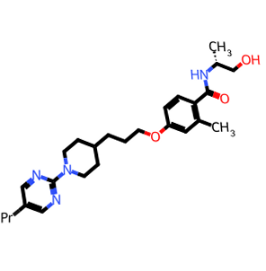 Cc1cc(OCCCC2CCN(c3ncc(C(C)C)cn3)CC2)ccc1C(=O)N[C@H](C)CO